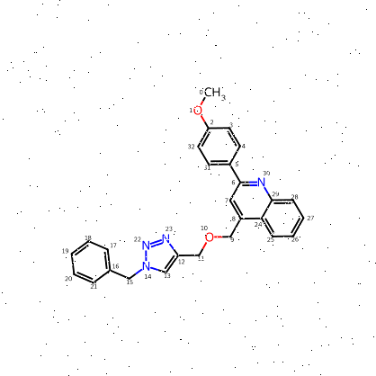 COc1ccc(-c2cc(COCc3cn(Cc4ccccc4)nn3)c3ccccc3n2)cc1